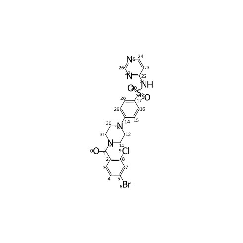 O=C(c1ccc(Br)cc1Cl)N1CCN(c2ccc(S(=O)(=O)Nc3ccncn3)cc2)CC1